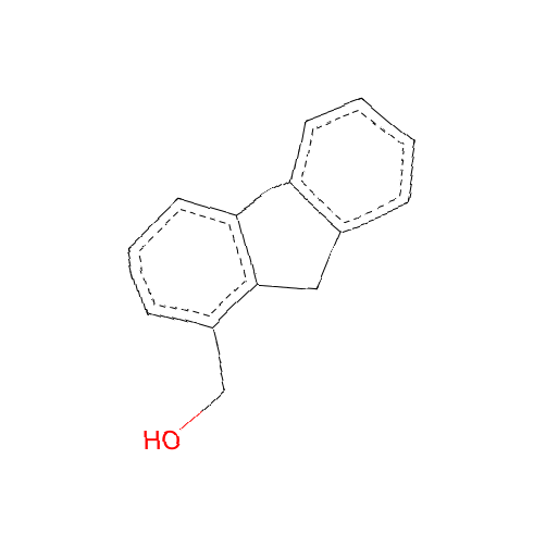 OCc1cccc2c1Cc1ccccc1-2